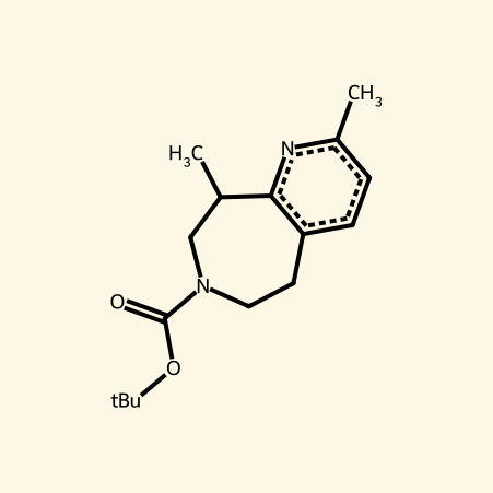 Cc1ccc2c(n1)C(C)CN(C(=O)OC(C)(C)C)CC2